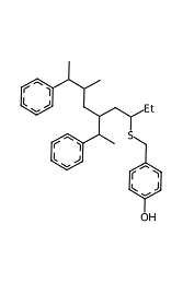 CCC(CC(CC(C)C(C)c1ccccc1)C(C)c1ccccc1)SCc1ccc(O)cc1